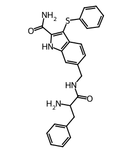 NC(=O)c1[nH]c2cc(CNC(=O)C(N)Cc3ccccc3)ccc2c1Sc1ccccc1